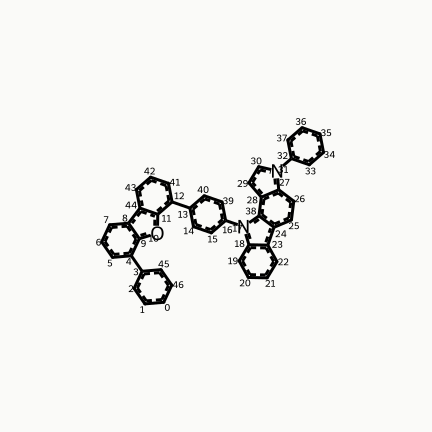 c1ccc(-c2cccc3c2oc2c(-c4ccc(-n5c6ccccc6c6ccc7c(ccn7-c7ccccc7)c65)cc4)cccc23)cc1